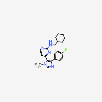 C[C@H](Nc1nccc(-c2c(-c3ccc(F)cc3)ncn2C(F)(F)F)n1)C1CCCCC1